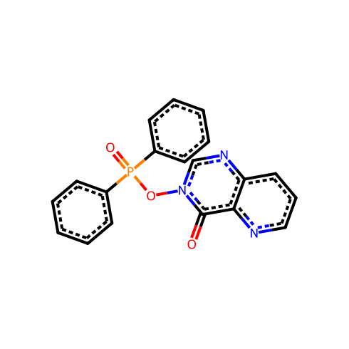 O=c1c2ncccc2ncn1OP(=O)(c1ccccc1)c1ccccc1